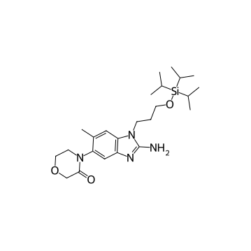 Cc1cc2c(cc1N1CCOCC1=O)nc(N)n2CCCO[Si](C(C)C)(C(C)C)C(C)C